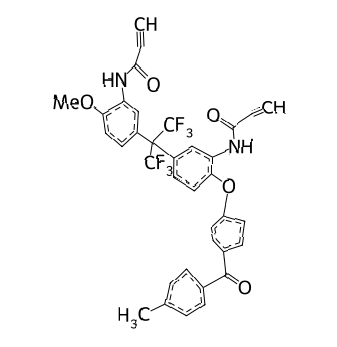 C#CC(=O)Nc1cc(C(c2ccc(Oc3ccc(C(=O)c4ccc(C)cc4)cc3)c(NC(=O)C#C)c2)(C(F)(F)F)C(F)(F)F)ccc1OC